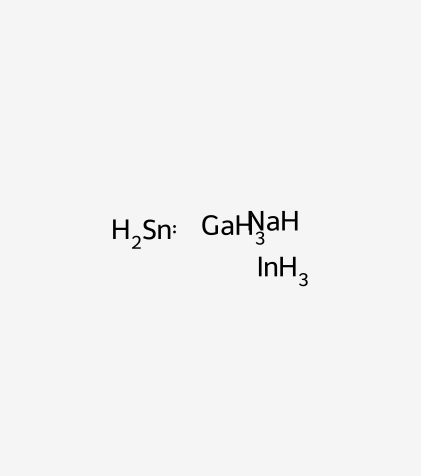 [GaH3].[InH3].[NaH].[SnH2]